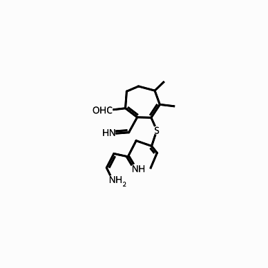 C/C=C(\CC(=N)/C=C\N)SC1=C(C)C(C)CCC(C=O)=C1C=N